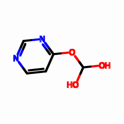 OC(O)Oc1ccncn1